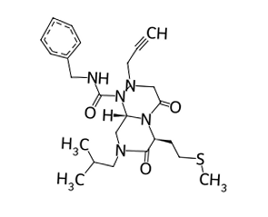 C#CCN1CC(=O)N2[C@@H](CCSC)C(=O)N(CC(C)C)C[C@@H]2N1C(=O)NCc1ccccc1